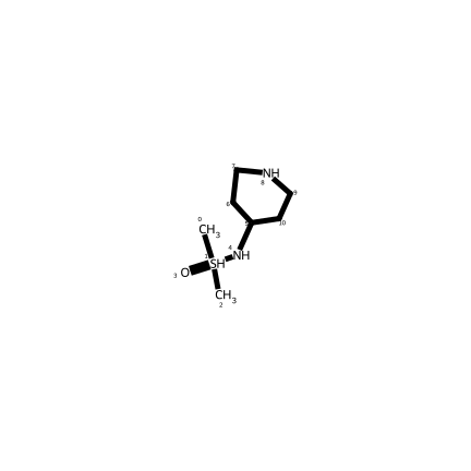 C[SH](C)(=O)NC1CCNCC1